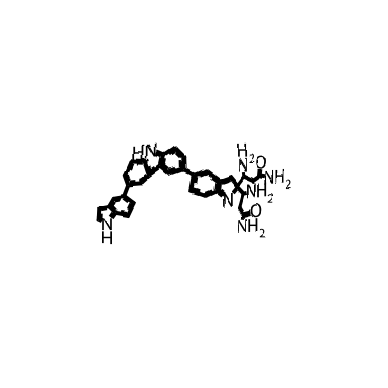 NC(=O)CC(N)C1(C(N)CC(N)=O)C=c2cc(-c3ccc4[nH]c5ccc(-c6ccc7[nH]ccc7c6)cc5c4c3)ccc2=N1